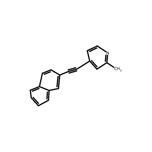 Cc1cc(C#Cc2ccc3ccccc3c2)ccn1